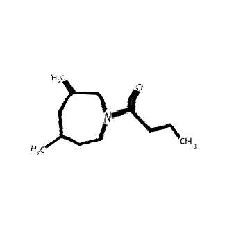 C=C1CC(C)CCN(C(=O)CCC)C1